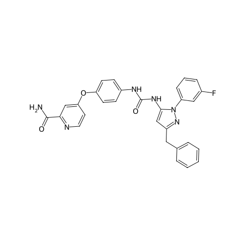 NC(=O)c1cc(Oc2ccc(NC(=O)Nc3cc(Cc4ccccc4)nn3-c3cccc(F)c3)cc2)ccn1